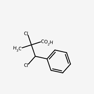 CC(Cl)(C(=O)O)C(Cl)c1ccccc1